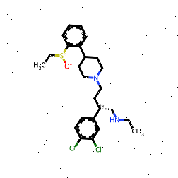 CCNC[C@@H](CCN1CCC(c2ccccc2[S+]([O-])CC)CC1)c1ccc(Cl)c(Cl)c1